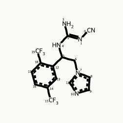 N#CN=C(N)NC(Cn1ccnc1)c1cc(C(F)(F)F)ccc1C(F)(F)F